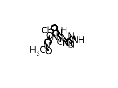 CC(=O)N1CCC(Oc2nc(C(C)Nc3ncnc4[nH]cnc34)nc3cccc(Cl)c23)CC1